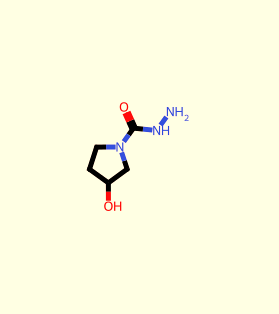 NNC(=O)N1CCC(O)C1